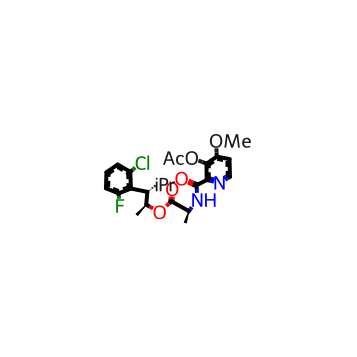 COc1ccnc(C(=O)N[C@@H](C)C(=O)O[C@@H](C)[C@H](c2c(F)cccc2Cl)C(C)C)c1OC(C)=O